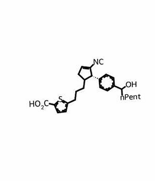 [C-]#[N+]C1=CCC(CCCc2ccc(C(=O)O)s2)[C@H]1c1ccc(C(O)CCCCC)cc1